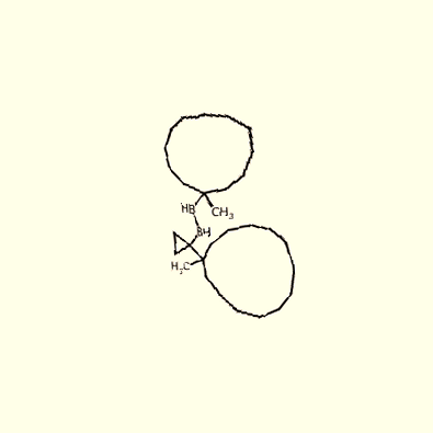 CC1(BBC2(C3(C)CCCCCCCCCCCC3)CC2)CCCCCCCCCCC1